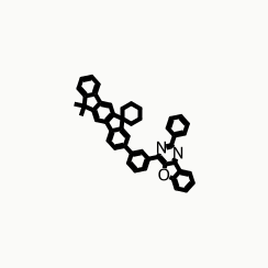 CC1(C)c2ccccc2-c2cc3c(cc21)-c1ccc(-c2cccc(-c4nc(-c5ccccc5)nc5c4oc4ccccc45)c2)cc1C31CCCCC1